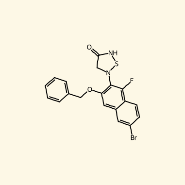 O=C1CN(c2c(OCc3ccccc3)cc3cc(Br)ccc3c2F)SN1